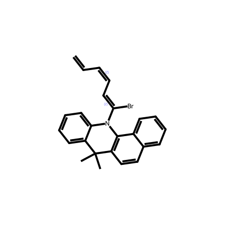 C=C/C=C\C=C(/Br)N1c2ccccc2C(C)(C)c2ccc3ccccc3c21